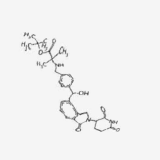 CC(C)(C)OC(=O)C(C)(C)NCc1ccc(C(O)c2cccc3c2CN(C2CCC(=O)NC2=O)C3=O)cc1